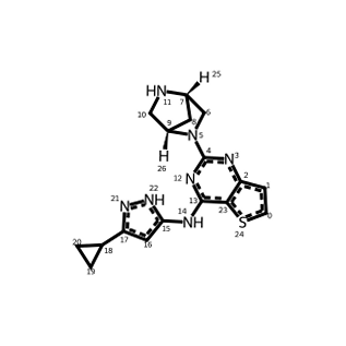 c1cc2nc(N3C[C@@H]4C[C@H]3CN4)nc(Nc3cc(C4CC4)n[nH]3)c2s1